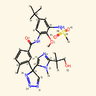 COc1c(NC(=O)c2ccc(C)c(C3(c4cnc(C(C)(C)CO)n4C)C=NN=N3)c2)cc(C(C)(C)C)cc1NS(C)(=O)=O